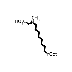 CCCCCCCCCCCCCCCCN(C)CC(=O)O